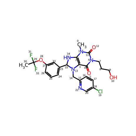 Cn1c2c(c(=O)n(CCCO)c1=O)N(Cc1ccc(Cl)cn1)C(c1cccc(OC(C)(F)F)c1)N2